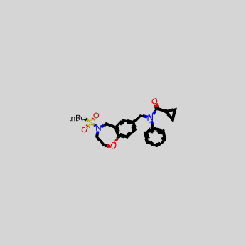 CCCCS(=O)(=O)N1CCOc2ccc(CN(C(=O)C3CC3)c3ccccc3)cc2C1